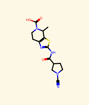 CC1c2sc(NC(=O)C3CCN(C#N)C3)nc2CCN1C(=O)O